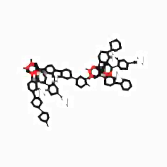 Cc1ccc(-c2ccc3c4ccc(-c5ccc(C)cc5)cc4n(-c4cc(C#N)cc(-n5c6cc(-c7ccc(C)cc7)ccc6c6ccc(-c7ccc(C)c(-c8cc(-c9ccc%10c%11ccccc%11n(-c%11cc(C#N)cc(-n%12c%13ccccc%13c%13ccc(-c%14ccc(C)cc%14C)cc%13%12)c%11-c%11ccncc%11)c%10c9)c(C)cc8C)c7)cc65)c4-c4ccncc4)c3c2)cc1